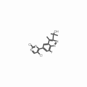 Cc1c(C(C)(C)O)nnc2c(F)cc(-c3nc(Cl)ncc3Cl)cc12